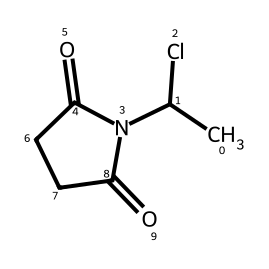 CC(Cl)N1C(=O)CCC1=O